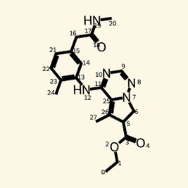 CCOC(=O)C1CN2N=CN=C(Nc3cc(CC(=O)NC)ccc3C)C2=C1C